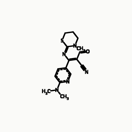 CN1CCCS/C1=N/C(=C(/C#N)C=O)c1ccc(N(C)C)nc1